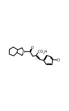 O=C(O)/C(=C\c1ccc(Cl)cc1)CC(=O)N1CC2CCCCC2C1